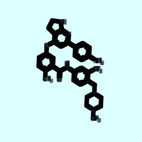 Cc1ccc(Oc2cc(-c3ccc(N)cc3)nc3c2CCN3)cc1C(=O)Nc1ccc(CN2CCN(C)CC2)c(C(F)(F)F)c1